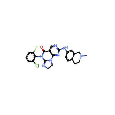 CN1CCc2ccc(Nc3ncc4c(n3)N3CCN=C3N(c3c(F)cccc3Cl)C4=O)cc2C1